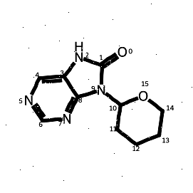 O=c1[nH]c2cncnc2n1C1CCCCO1